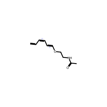 C=C/C=C\C=C\OCCNC(C)=O